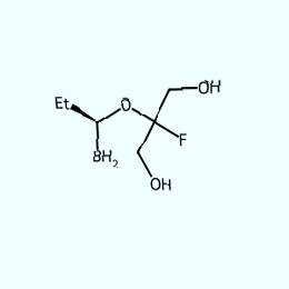 B[C@@H](CC)OC(F)(CO)CO